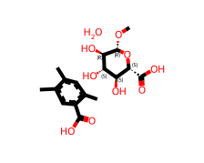 CO[C@@H]1O[C@H](C(=O)O)[C@@H](O)[C@H](O)[C@H]1O.Cc1cc(C)c(C(=O)O)cc1C.O